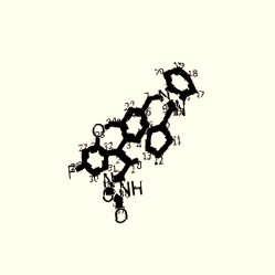 CC(=C1c2ccc(Cn3c(C4CCCC4)nc4ccccc43)cc2COc2cc(F)ccc21)c1noc(=O)[nH]1